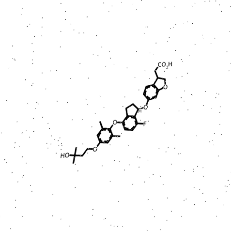 Cc1cc(OCCC(C)(C)O)cc(C)c1Oc1ccc(F)c2c1CC[C@H]2Oc1ccc2c(c1)OCC2CC(=O)O